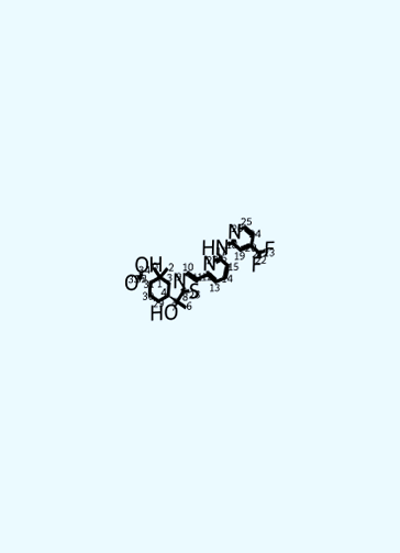 CC1(C)C[C@@H](C(C)(O)c2ncc(-c3cccc(Nc4cc(C(F)F)ccn4)n3)s2)CC[C@@H]1C(=O)O